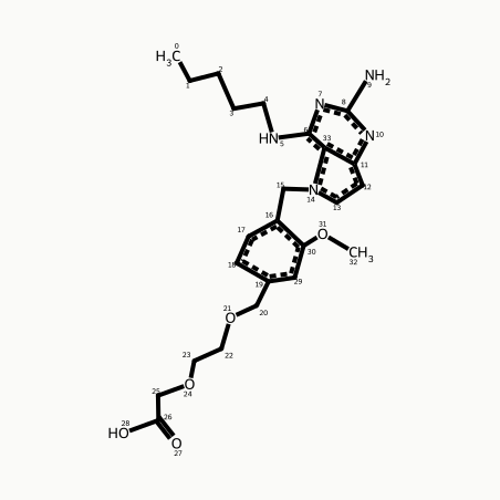 CCCCCNc1nc(N)nc2ccn(Cc3ccc(COCCOCC(=O)O)cc3OC)c12